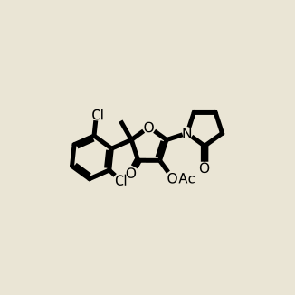 CC(=O)OC1=C(N2CCCC2=O)OC(C)(c2c(Cl)cccc2Cl)C1=O